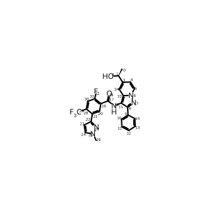 C[C@H](O)c1ccn2nc(-c3ccccc3)c(NC(=O)c3cc(-c4ccn(C)n4)c(C(F)(F)F)cc3F)c2c1